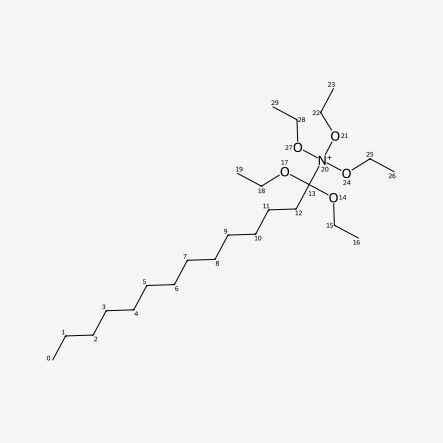 CCCCCCCCCCCCCC(OCC)(OCC)[N+](OCC)(OCC)OCC